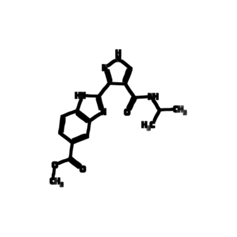 COC(=O)c1ccc2[nH]c(-c3n[nH]cc3C(=O)NC(C)C)nc2c1